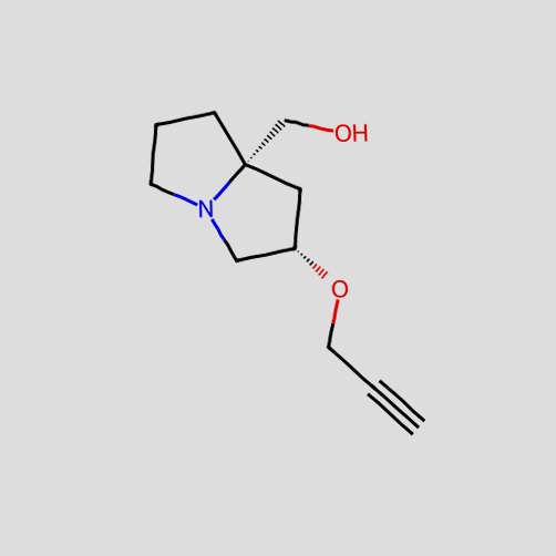 C#CCO[C@@H]1CN2CCC[C@@]2(CO)C1